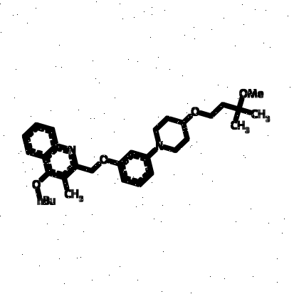 CCCCOc1c(C)c(COc2cccc(N3CCC(OCCC(C)(C)OC)CC3)c2)nc2ccccc12